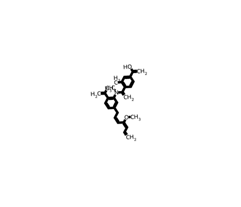 C=C/C=C(\C=C/Cc1ccc(C(=C)C)c(N(C)C(=C)c2ccc(C(=C)O)cc2C)c1)OC